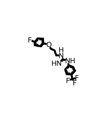 N=C(NCCCOc1ccc(F)cc1)Nc1ccc(C(F)(F)F)cc1